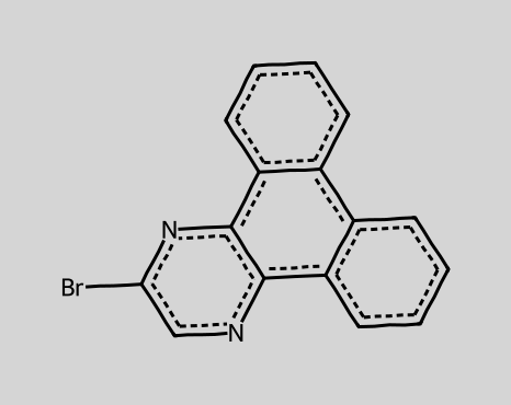 Brc1cnc2c3ccccc3c3ccccc3c2n1